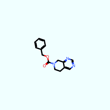 O=C(OCc1ccccc1)N1CCc2cncnc2C1